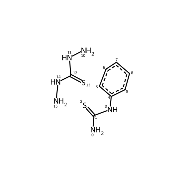 NC(=S)Nc1ccccc1.NNC(=S)NN